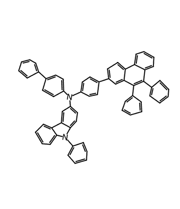 c1ccc(-c2ccc(N(c3ccc(-c4ccc5c(c4)c(-c4ccccc4)c(-c4ccccc4)c4ccccc45)cc3)c3ccc4c(c3)c3ccccc3n4-c3ccccc3)cc2)cc1